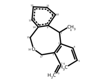 C=C/C1=C(\C=C/C)C(C)c2ccccc2COC1